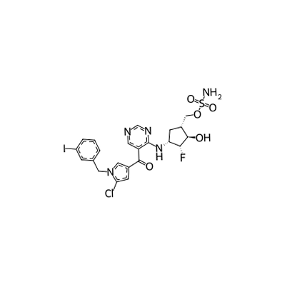 NS(=O)(=O)OC[C@H]1C[C@@H](Nc2ncncc2C(=O)c2cc(Cl)n(Cc3cccc(I)c3)c2)[C@@H](F)[C@@H]1O